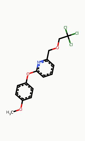 COc1ccc(Oc2cccc(COCC(Cl)(Cl)Cl)n2)cc1